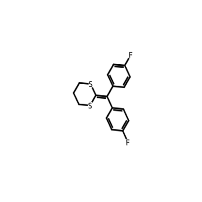 Fc1ccc(C(=C2SCCCS2)c2ccc(F)cc2)cc1